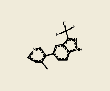 Cc1ccncc1-c1ccc2[nH]nc(C(F)(F)F)c2c1